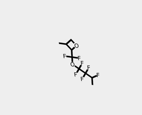 CC1COC1C(F)(F)OC(F)(F)C(F)(F)C(C)F